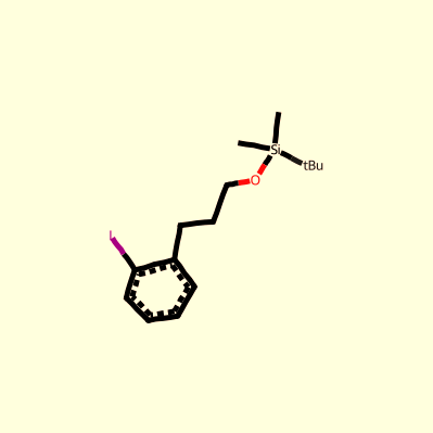 CC(C)(C)[Si](C)(C)OCCCc1ccccc1I